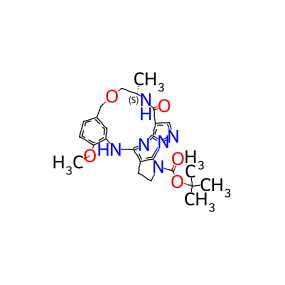 COc1ccc2cc1Nc1nc3c(cnn3c3c1CCN3C(=O)OC(C)(C)C)C(=O)N[C@@H](C)COC2